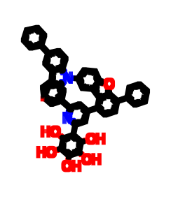 Oc1c(O)c(O)c(-c2cc(-c3ccc(-c4ccccc4)c4oc5ccc(-n6c7ccccc7c7cc(-c8ccccc8)ccc76)cc5c34)cc(-c3ccccc3)n2)c(O)c1O